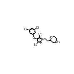 CCc1nn(CCC2CNCCO2)c(CC)c1Oc1cc(Cl)cc(Cl)c1